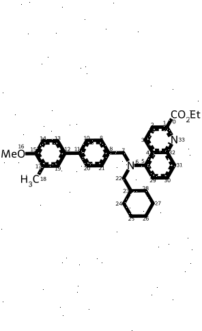 CCOC(=O)c1ccc2c(N(Cc3ccc(-c4ccc(OC)c(C)c4)cc3)CC3CCCCC3)cccc2n1